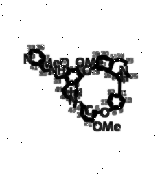 COc1ccc2cc1Oc1ccc(cc1)C[C@H]1c3cc(ccc3CCN1C)Oc1c(OC)c(OC)c(CNCc3cccnc3)c3c1[C@H](C2)N(C)CC3